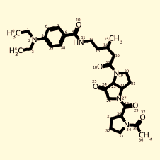 CCN(CC)c1ccc(C(=O)NCCC(C)CC(=O)N2CCC3C2C(=O)CN3C(=O)C2CCCN2C(C)=O)cc1